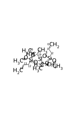 C=CC[Si](OC)(OC)O[Si](O[Si](CC=C)(OC)OC)(C(C)C)C(C)C